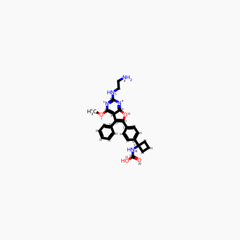 COc1nc(NCCN)nc2oc(-c3ccc(C4(NC(=O)O)CCC4)cc3)c(-c3ccccc3)c12